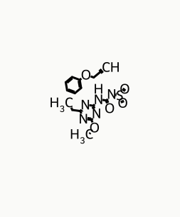 C#CCOc1ccccc1.CCc1nc(NC(=O)N=S(=O)=O)nc(OC)n1